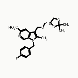 Cc1c(COC[C@@H]2COC(C)(C)O2)c2cc(C(=O)O)ncc2n1Cc1ccc(F)cc1